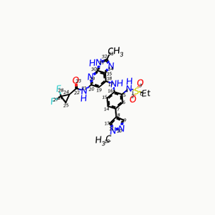 CCS(=O)(=O)Nc1cc(-c2cnn(C)c2)ccc1Nc1cc(NC(=O)C2CC2(F)F)nc2[nH]c(C)nc12